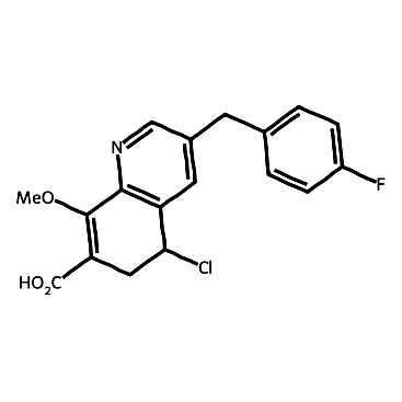 COC1=C(C(=O)O)CC(Cl)c2cc(Cc3ccc(F)cc3)cnc21